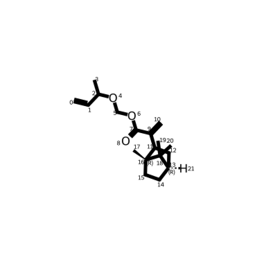 C=CC(C)OCOC(=O)C(=C)C1C[C@H]2CC[C@@]1(C)C2(C)C